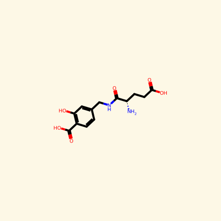 N[C@@H](CCC(=O)O)C(=O)NCc1ccc(C(=O)O)c(O)c1